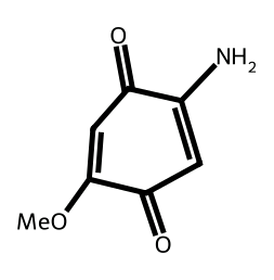 COC1=CC(=O)C(N)=CC1=O